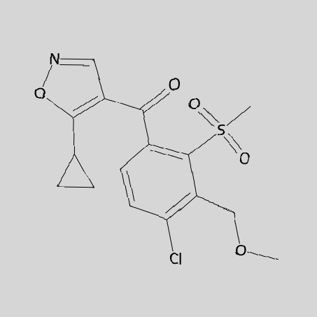 COCc1c(Cl)ccc(C(=O)c2cnoc2C2CC2)c1S(C)(=O)=O